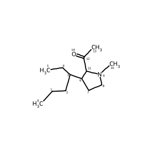 CCCC(CC)C1CCN(C)C1C(C)=O